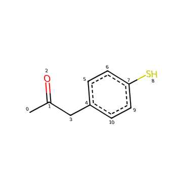 CC(=O)Cc1ccc(S)cc1